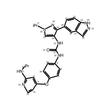 CC(C)Nc1cc(Oc2ccc(NC(=O)Nc3cn(C(C)C)nc3-c3ccc4[nH]ncc4c3)cc2)ccn1